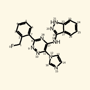 FCc1ccccc1-c1nnc(-n2ccnc2)c(Nc2n[nH]c3ccccc23)n1